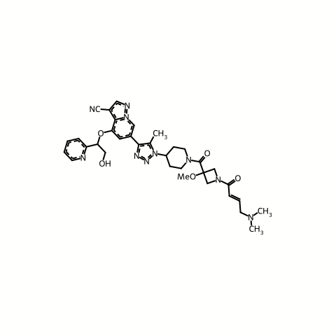 COC1(C(=O)N2CCC(n3nnc(-c4cc(OC(CO)c5ccccn5)c5c(C#N)cnn5c4)c3C)CC2)CN(C(=O)/C=C/CN(C)C)C1